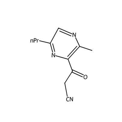 CCCc1cnc(C)c(C(=O)CC#N)n1